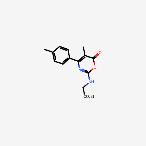 CCOC(=O)CNc1nc(-c2ccc(C)cc2)c(C)c(=O)o1